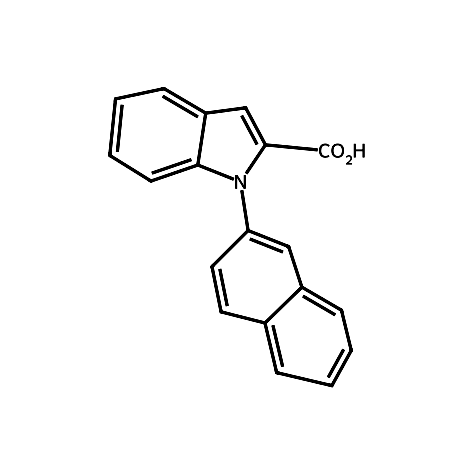 O=C(O)c1cc2ccccc2n1-c1ccc2ccccc2c1